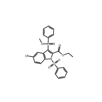 CCOC(=O)c1c(P(=S)(OC)c2ccccc2)c2cc(Cl)ccc2n1S(=O)(=O)c1ccccc1